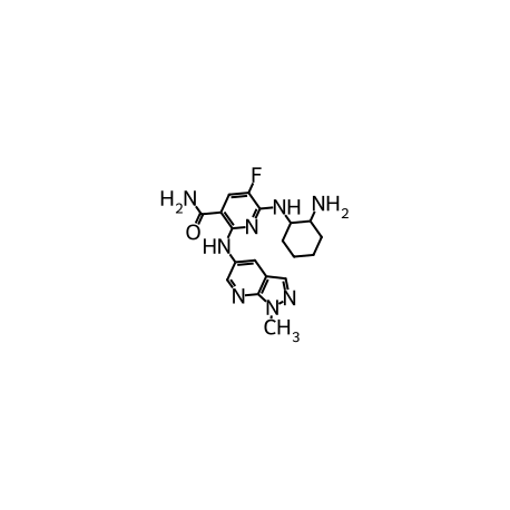 Cn1ncc2cc(Nc3nc(NC4CCCCC4N)c(F)cc3C(N)=O)cnc21